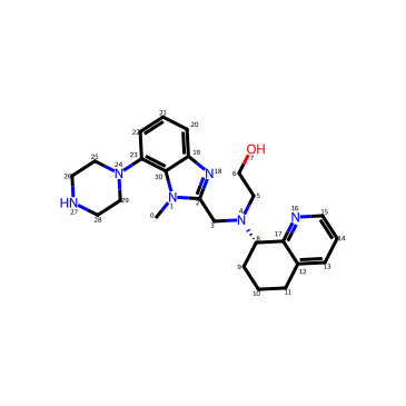 Cn1c(CN(CCO)[C@H]2CCCc3cccnc32)nc2cccc(N3CCNCC3)c21